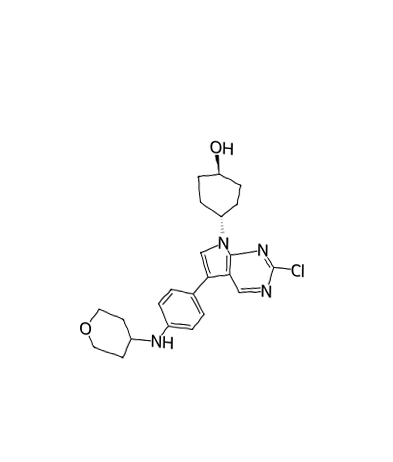 O[C@H]1CC[C@H](n2cc(-c3ccc(NC4CCOCC4)cc3)c3cnc(Cl)nc32)CC1